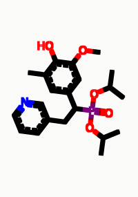 COc1cc(C(Cc2cccnc2)P(=O)(OC(C)C)OC(C)C)cc(C)c1O